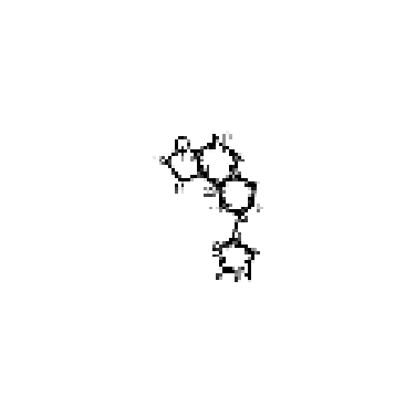 c1ncc(-c2ccc3cnc4c(c3c2)CCO4)s1